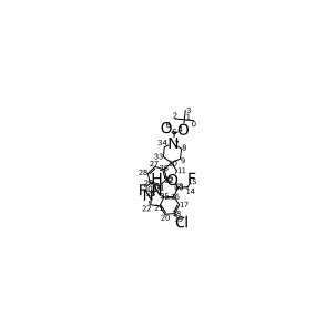 CC(C)(C)OC(=O)N1CCC(CO[C@@H](CF)c2cc(Cl)cc3cn[nH]c23)(c2ccc(F)cc2)CC1